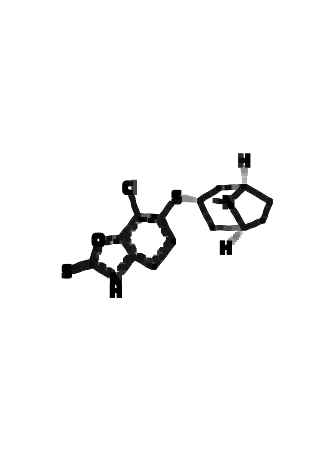 CN1[C@@H]2CC[C@H]1C[C@H](Sc1ccc3[nH]c(=S)oc3c1Cl)C2